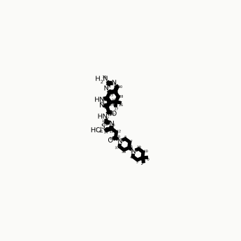 CC1(C)CCN(C2CCN(C(=O)Cc3csc(NC(=O)c4n[nH]c5c4C(C)(C)Cc4cnc(N)nc4-5)n3)CC2)CC1.Cl